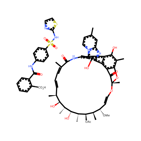 CO[C@H]1/C=C/O[C@@]2(C)Oc3c(C)c(O)c4c(O)c(c5c(nc6cc(C)ccn65)c4c3C2=O)NC(=O)/C(C)=C\C=C\[C@H](C)[C@H](O)[C@@H](C)[C@@H](O)[C@@H](C)[C@H](OC(C)=O)[C@@H]1C.O=C(O)c1ccccc1C(=O)Nc1ccc(S(=O)(=O)Nc2nccs2)cc1